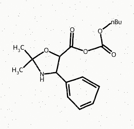 CCCCOC(=O)OC(=O)C1OC(C)(C)NC1c1ccccc1